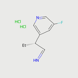 CC[C@@H](C=N)c1cncc(F)c1.Cl.Cl